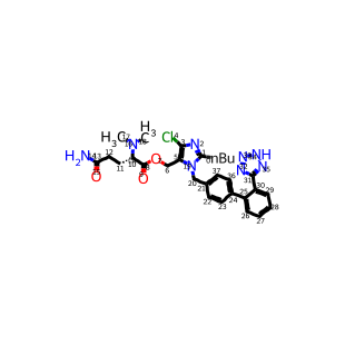 CCCCc1nc(Cl)c(COC(=O)[C@H](CCC(N)=O)N(C)C)n1Cc1ccc(-c2ccccc2-c2nn[nH]n2)cc1